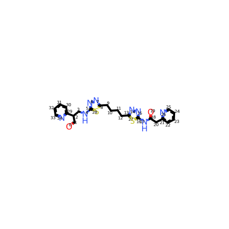 O=CC(CNc1nnc(CCCCc2nnc(NC(=O)Cc3ccccn3)s2)s1)c1ccccn1